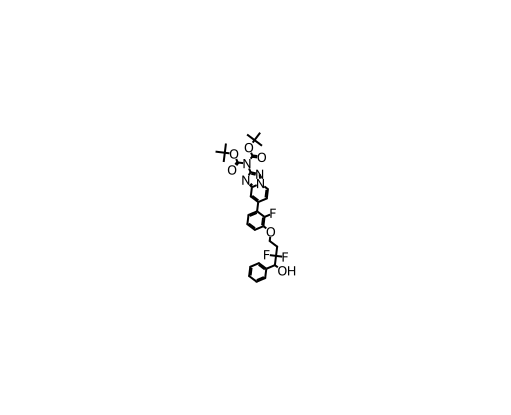 CC(C)(C)OC(=O)N(C(=O)OC(C)(C)C)c1nc2cc(-c3cccc(OCCC(F)(F)C(O)c4ccccc4)c3F)ccn2n1